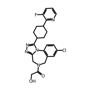 O=C(CO)N1Cc2cc(Cl)ccc2-n2c(nnc2C2CCC(c3ncccc3F)CC2)C1